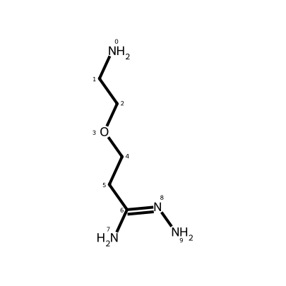 NCCOCCC(N)=NN